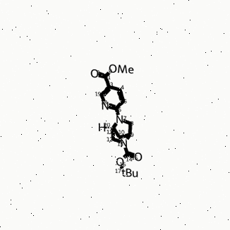 COC(=O)c1ccc(N2CC3C[C@H]2CN3C(=O)OC(C)(C)C)nc1